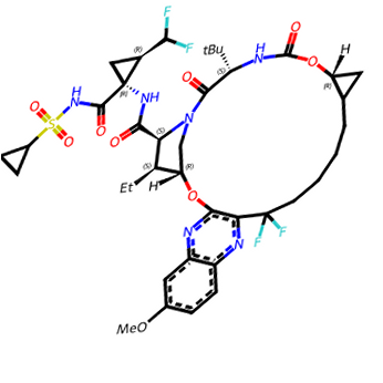 CC[C@@H]1[C@@H]2CN(C(=O)[C@H](C(C)(C)C)NC(=O)O[C@@H]3CC3CCCCC(F)(F)c3nc4ccc(OC)cc4nc3O2)[C@@H]1C(=O)N[C@]1(C(=O)NS(=O)(=O)C2CC2)C[C@H]1C(F)F